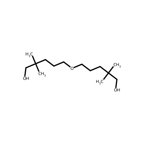 CC(C)(CO)CCCOCCCC(C)(C)CO